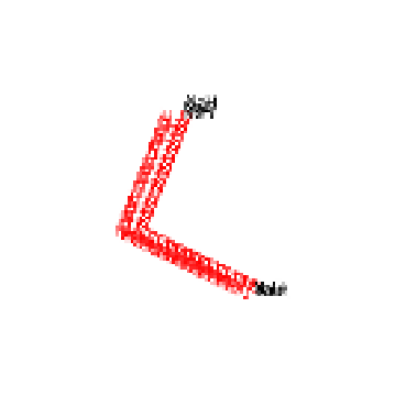 O.O.O.O.O.O.O.O.O.O.O.O.O.O.O.O.O.O.O.O.O.O.O.O.O.O.O.O.O.O.O.O.O.O.O.O.O.O.O.O.O.O.O.O.O.O.O.O.O.O.[NaH].[NaH].[NaH].[NaH].[NaH]